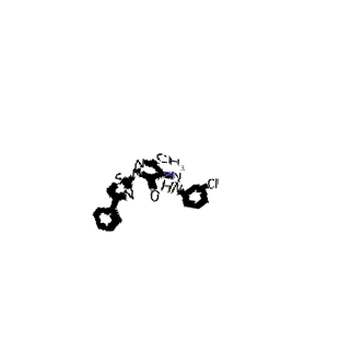 CC1=NN(c2nc(-c3ccccc3)cs2)C(=O)/C1=N\Nc1cccc(Cl)c1